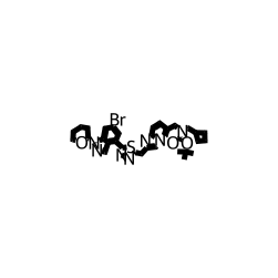 CC(C)(C)OC(=O)N(Cc1ccc2nc(Cc3nnc(-c4cc(Br)cc5c4cnn5C4CCCCO4)s3)cn2c1)CC1CCC1